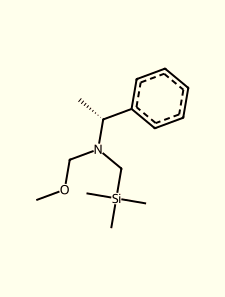 COCN(C[Si](C)(C)C)[C@H](C)c1ccccc1